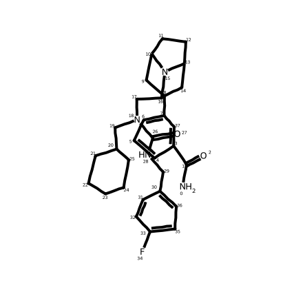 NC(=O)c1cccc(C2CC3CCC(C2)N3CCN(CC2CCCCC2)C(=O)NCc2ccc(F)cc2)c1